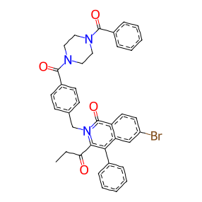 CCC(=O)c1c(-c2ccccc2)c2cc(Br)ccc2c(=O)n1Cc1ccc(C(=O)N2CCN(C(=O)c3ccccc3)CC2)cc1